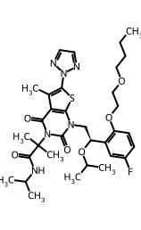 CCCCOCCOc1ccc(F)cc1[C@H](Cn1c(=O)n(C(C)(C)C(=O)NC(C)C)c(=O)c2c(C)c(-n3nccn3)sc21)OC(C)C